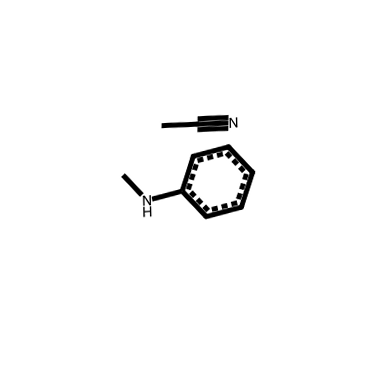 CC#N.CNc1ccccc1